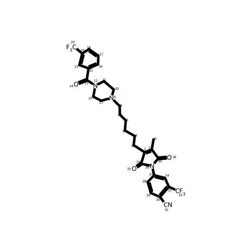 CC1=C(CCCCCCN2CCN(C(=O)c3cccc(C(F)(F)F)c3)CC2)C(=O)N(c2ccc(C#N)c(C(F)(F)F)c2)C1=O